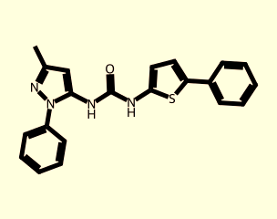 Cc1cc(NC(=O)Nc2ccc(-c3ccccc3)s2)n(-c2ccccc2)n1